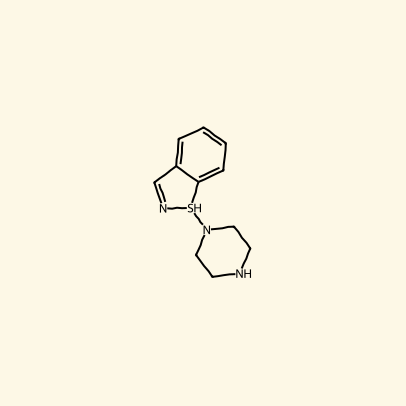 C1=N[SH](N2CCNCC2)c2ccccc21